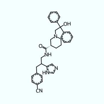 N#Cc1ccc(CC(CNC(=O)[C@H]2CCCN(CC(O)(c3ccccc3)c3ccccc3)C2)c2cnc[nH]2)cc1